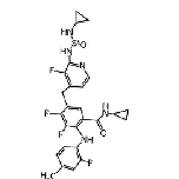 Cc1ccc(Nc2c(C(=O)NC3CC3)cc(Cc3ccnc(N[S+]([O-])NC4CC4)c3F)c(F)c2F)c(F)c1